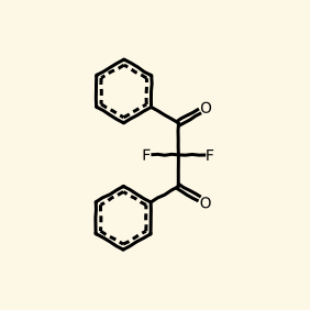 O=C(c1ccccc1)C(F)(F)C(=O)c1ccccc1